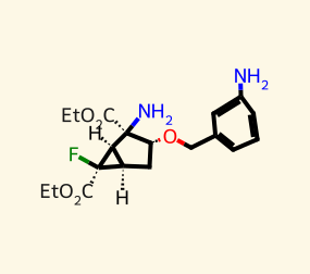 CCOC(=O)[C@@]1(N)[C@H]2[C@@H](C[C@H]1OCc1cccc(N)c1)[C@]2(F)C(=O)OCC